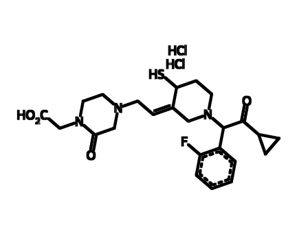 Cl.Cl.O=C(O)CN1CCN(C/C=C2/CN(C(C(=O)C3CC3)c3ccccc3F)CCC2S)CC1=O